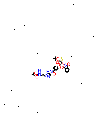 CSC(C(=O)OC(C)(C)C)[C@H](COc1ccc(C(=O)Nc2cnn(CCCNC(=O)OC(C)(C)C)c2)cc1)ON1C(=O)c2ccccc2C1=O